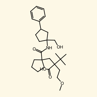 COCCC(CC1(C(=O)NC2(CO)CCC(c3ccccc3)C2)CCCC1)(C(=O)O)C(C)(C)C